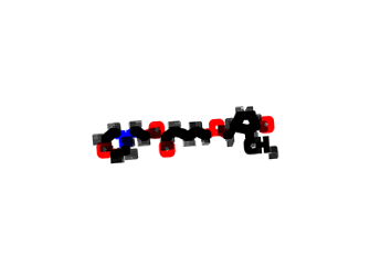 CC1C(=O)CC[C@@H]1COCCCCC(=O)OCCN1CCOCC1